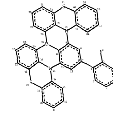 Cc1ccccc1-c1cc2c3c(c1)N1c4ccccc4Sc4cccc(c41)B3c1cccc3c1N2c1ccccc1S3